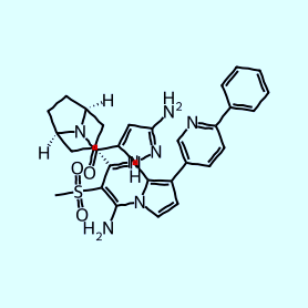 CS(=O)(=O)c1c([C@@H]2C[C@H]3CC[C@@H](C2)N3C(=O)c2cc(N)n[nH]2)nc2c(-c3ccc(-c4ccccc4)nc3)ccn2c1N